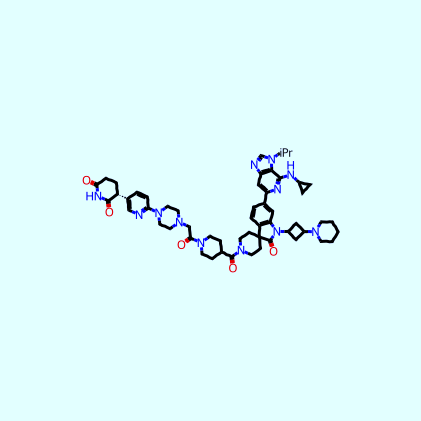 CC(C)n1cnc2cc(-c3ccc4c(c3)N(C3CC(N5CCCCC5)C3)C(=O)C43CCN(C(=O)C4CCN(C(=O)CN5CCN(c6ccc([C@H]7CCC(=O)NC7=O)cn6)CC5)CC4)CC3)nc(NC3CC3)c21